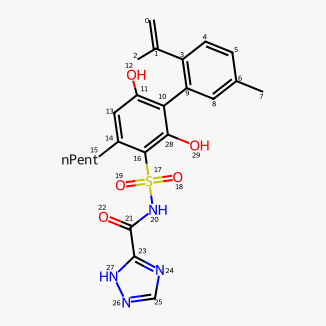 C=C(C)c1ccc(C)cc1-c1c(O)cc(CCCCC)c(S(=O)(=O)NC(=O)c2ncn[nH]2)c1O